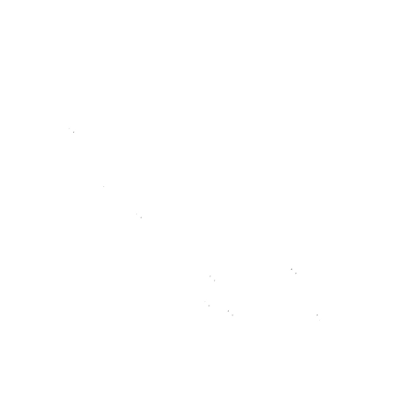 COC(=S)C(N)c1cn(-c2cc(F)c(N3CCN(C(=O)CNC(=O)OC(C)(C)C)CC3)c(F)c2)nn1